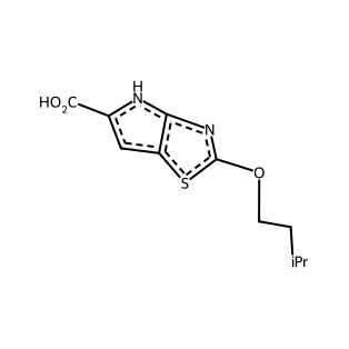 CC(C)CCOc1nc2[nH]c(C(=O)O)cc2s1